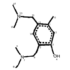 Cc1cc(O)c(CN(C)C)cc1CN(C)C